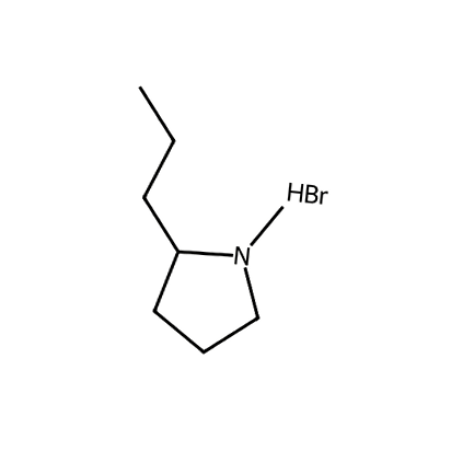 Br.CCCC1CCCN1C